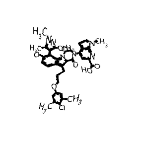 Cc1cc(OCCCc2c3n(c4c(-c5c(C)nn(C)c5C)c(Cl)ccc24)C(C)CN(c2cc(C(=O)O)nc4c2ccn4C)C3=O)cc(C)c1Cl